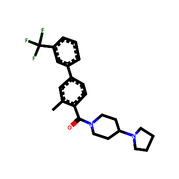 Cc1cc(-c2cccc(C(F)(F)F)c2)ccc1C(=O)N1CCC(N2CCCC2)CC1